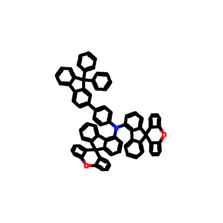 c1ccc(C2(c3ccccc3)c3ccccc3-c3ccc(-c4ccc(N(c5cccc6c5-c5ccccc5C65c6ccccc6Oc6ccccc65)c5cccc6c5-c5ccccc5C65c6ccccc6Oc6ccccc65)cc4)cc32)cc1